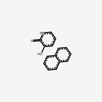 O=c1[nH]cccc1O.c1ccc2ccccc2c1